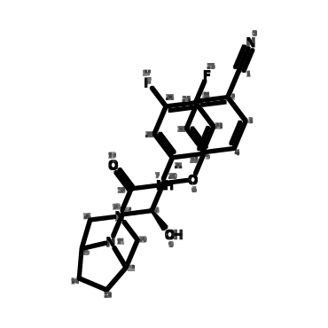 N#Cc1ccc(OC[C@@H](O)CN2C3CCC2CN(C(=O)Nc2ccc(F)c(F)c2)C3)cc1